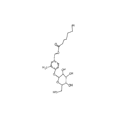 Cc1cc(COC(=O)CCCCCC(C)C)ccc1OC1OC(CO)C(O)C(O)C1O